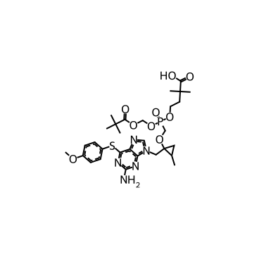 COc1ccc(Sc2nc(N)nc3c2ncn3CC2(OCP(=O)(OCCC(C)(C)C(=O)O)OCOC(=O)C(C)(C)C)CC2C)cc1